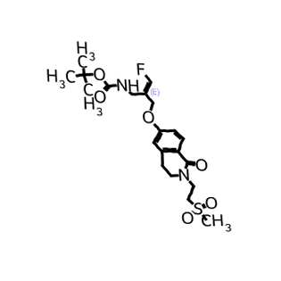 CC(C)(C)OC(=O)NC/C(=C\F)COc1ccc2c(c1)CCN(CCS(C)(=O)=O)C2=O